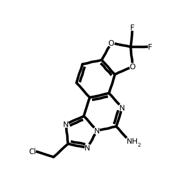 Nc1nc2c3c(ccc2c2nc(CCl)nn12)OC(F)(F)O3